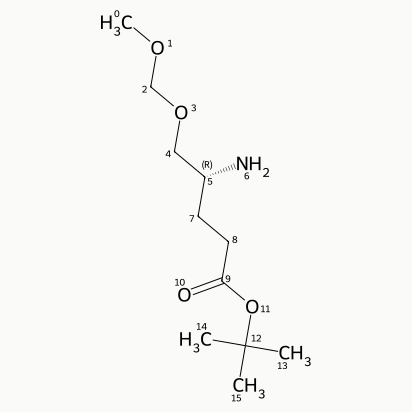 COCOC[C@H](N)CCC(=O)OC(C)(C)C